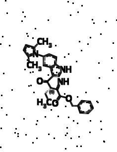 CC[C@@H](C(=N)C(=O)OCc1ccccc1)C(=O)c1c[nH]c2ccc(-n3c(C)ccc3C)cc12